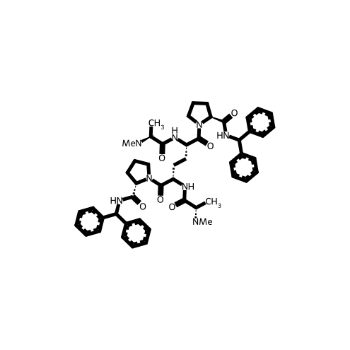 CN[C@@H](C)C(=O)N[C@@H](CC[C@H](NC(=O)[C@H](C)NC)C(=O)N1CCC[C@H]1C(=O)NC(c1ccccc1)c1ccccc1)C(=O)N1CCC[C@H]1C(=O)NC(c1ccccc1)c1ccccc1